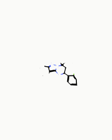 Cc1nn2c(c1C=O)NC(c1ccccc1F)CC2(C)C